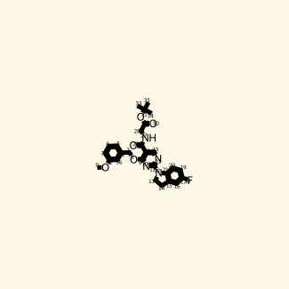 COc1cccc(COc2nc(N3CCc4cc(F)ccc43)ncc2C(=O)NCC(=O)OC(C)(C)C)c1